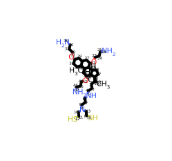 CC(CCCNCCCN(CCS)CCS)C1CC[C@H]2C3[C@H](OCCCN)CC4C[C@H](OCCCN)CCC4(C)[C@H]3C[C@H](OCCCN)C12C